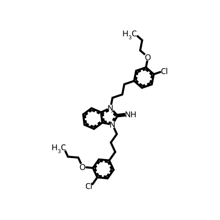 CCCOc1cc(CCCn2c(=N)n(CCCc3ccc(Cl)c(OCCC)c3)c3ccccc32)ccc1Cl